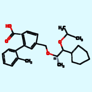 Cc1ccccc1-c1cc(CO[C@@H](C)C(OC(C)C)C2CCCCC2)ccc1C(=O)O